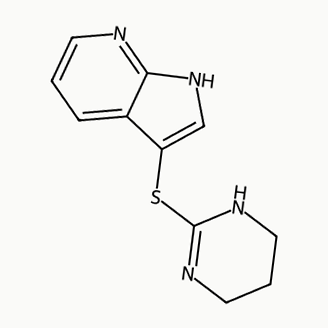 c1cnc2[nH]cc(SC3=NCCCN3)c2c1